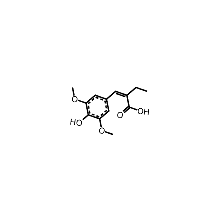 CCC(=Cc1cc(OC)c(O)c(OC)c1)C(=O)O